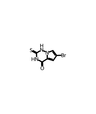 O=c1[nH]c(=S)[nH]n2cc(Br)cc12